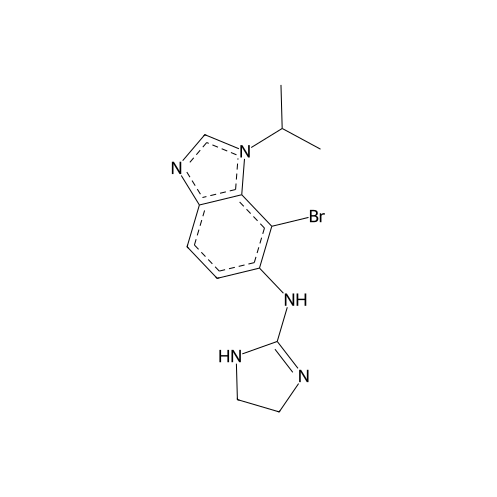 CC(C)n1cnc2ccc(NC3=NCCN3)c(Br)c21